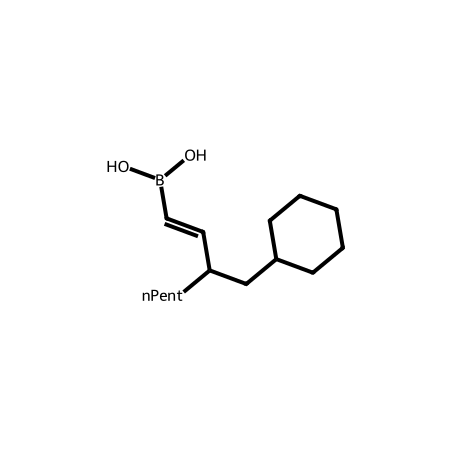 CCCCCC(/C=C/B(O)O)CC1CCCCC1